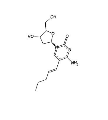 CCC/C=C/c1cn([C@H]2C[C@H](O)[C@@H](CO)O2)c(=O)nc1N